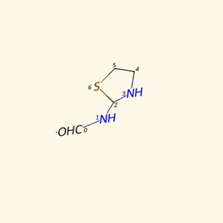 O=[C]NC1NCCS1